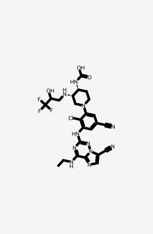 CCNc1nc(Nc2cc(C#N)cc(N3CC[C@@H](NC(=O)O)[C@@H](NCC(O)C(F)(F)F)C3)c2Cl)nn2c(C#N)cnc12